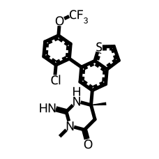 CN1C(=N)N[C@](C)(c2cc(-c3cc(OC(F)(F)F)ccc3Cl)c3sccc3c2)CC1=O